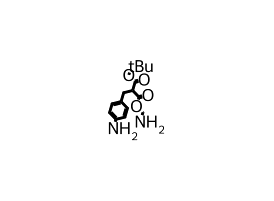 CC(C)(C)OC(=O)C(Cc1ccc(N)cc1)C(=O)OCN